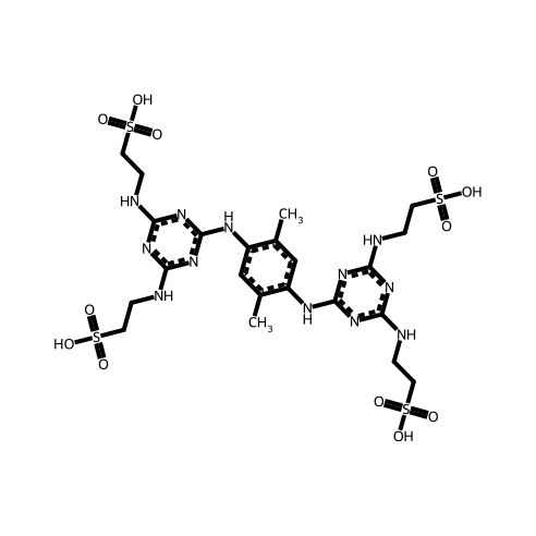 Cc1cc(Nc2nc(NCCS(=O)(=O)O)nc(NCCS(=O)(=O)O)n2)c(C)cc1Nc1nc(NCCS(=O)(=O)O)nc(NCCS(=O)(=O)O)n1